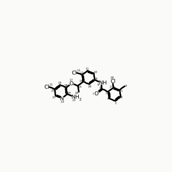 Cc1cccc(C(=O)Nc2ccc(Cl)c(C(C)Oc3cc(Cl)cnc3N)c2)c1Cl